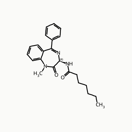 CCCCCCC(=O)N[C@@H]1N=C(c2ccccc2)c2ccccc2N(C)C1=O